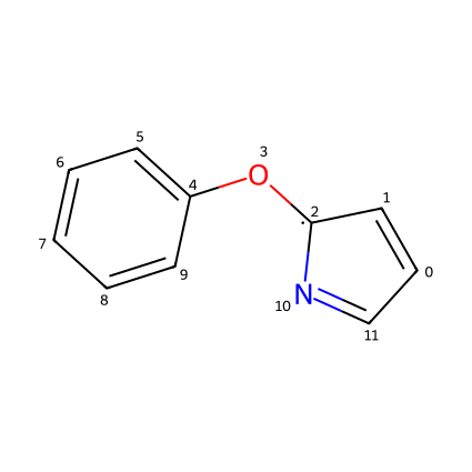 C1=C[C](Oc2ccccc2)N=C1